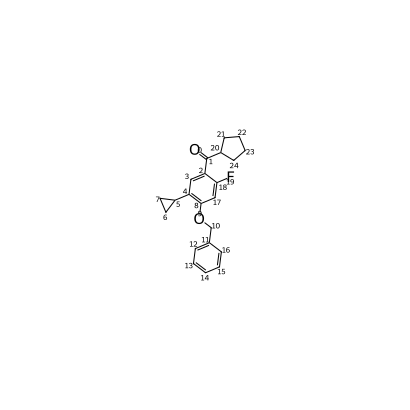 O=C(c1cc(C2CC2)c(OCc2ccccc2)cc1F)C1CCCC1